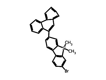 C[Si]1(C)c2cc(Br)ccc2-c2ccc(-c3cc4ccccc4c4ccccc34)cc21